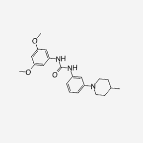 COc1cc(NC(=O)Nc2cccc(N3CCC(C)CC3)c2)cc(OC)c1